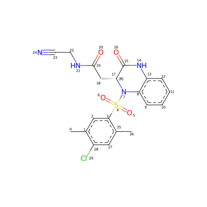 Cc1cc(S(=O)(=O)N2c3ccccc3NC(=O)[C@H]2CC(=O)NCC#N)c(C)cc1Cl